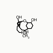 CN1CCCc2c3ccc(O)c2OC2C[C@@H](CC[C@@H]2O)[C@H]1C3